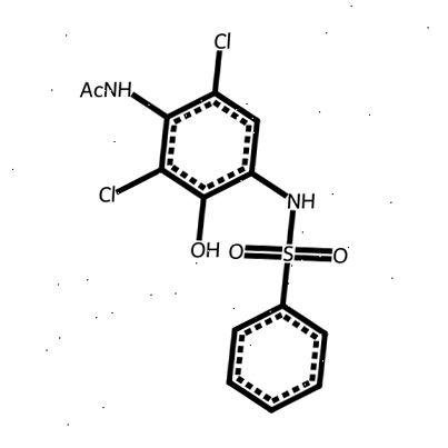 CC(=O)Nc1c(Cl)cc(NS(=O)(=O)c2ccccc2)c(O)c1Cl